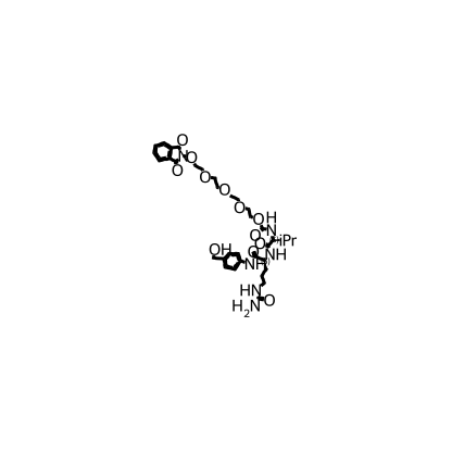 CC(C)[C@H](NC(=O)OCCOCCOCCOCCON1C(=O)c2ccccc2C1=O)C(=O)N[C@@H](CCCNC(N)=O)C(=O)Nc1ccc(CO)cc1